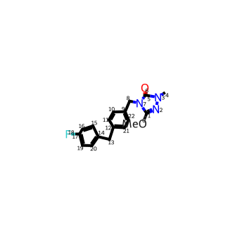 COc1nn(C)c(=O)n1Cc1ccc(Cc2ccc(F)cc2)cc1